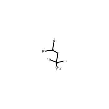 [CH2]C(I)(I)CC(Br)Br